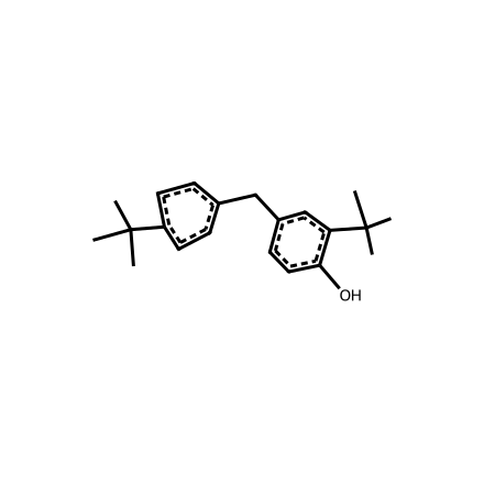 CC(C)(C)c1ccc(Cc2ccc(O)c(C(C)(C)C)c2)cc1